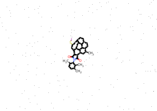 Cc1ccc(C)c(-n2c(=O)c3c4cc(C)c5ccc6ccc7c(SI)cc(c3c2=O)c2c7c6c5c42)c1C